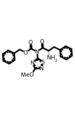 COc1nsc(N(C(=O)OCc2ccccc2)C(=O)[C@@H](N)Cc2ccccc2)n1